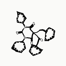 O=C1N(c2ccccc2)C(=O)C(Cc2ccccc2)(C(=O)c2ccccc2)C(=O)N1c1ccccc1